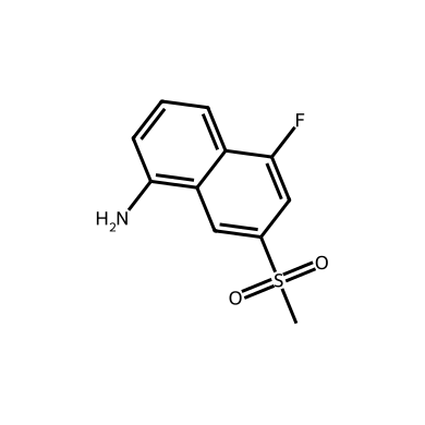 CS(=O)(=O)c1cc(F)c2cccc(N)c2c1